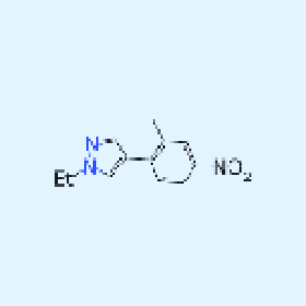 CCn1cc(-c2ccc([N+](=O)[O-])cc2C)cn1